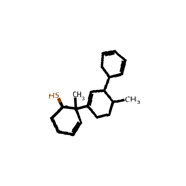 CC1CCC(C2(C)C=CCCC2S)=CC1C1C=CC=CC1